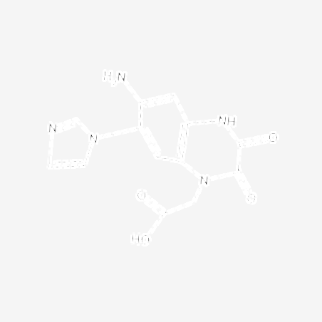 Nc1cc2[nH]c(=O)c(=O)n(CC(=O)O)c2cc1-n1ccnc1